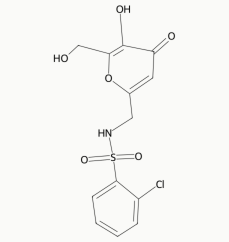 O=c1cc(CNS(=O)(=O)c2ccccc2Cl)oc(CO)c1O